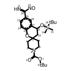 CC(C)(C)OC(=O)N1CCC2(CC1)CC(O[Si](C)(C)C(C)(C)C)c1cc(C(=N)N=O)ccc1O2